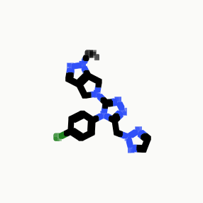 Cn1ncc2c1CN(c1nnc(Cn3nccn3)n1-c1ccc(Cl)cc1)C2